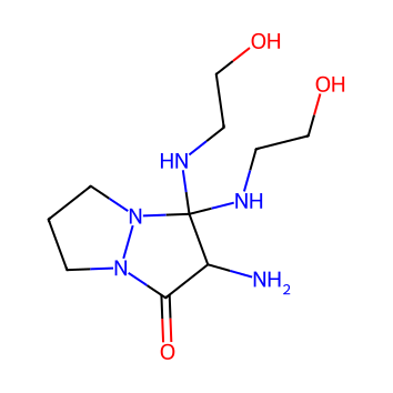 NC1C(=O)N2CCCN2C1(NCCO)NCCO